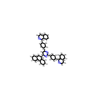 c1ccc2c(-c3ccc(-c4cc(-c5cc6ccccc6c6ccccc56)nc(-c5ccc(-c6nccc7ccccc67)cc5)n4)cc3)nccc2c1